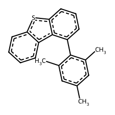 Cc1cc(C)c(-c2cccc3sc4ccccc4c23)c(C)c1